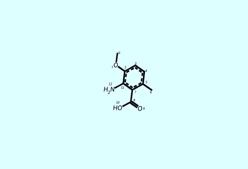 COc1ccc(C)c(C(=O)O)c1N